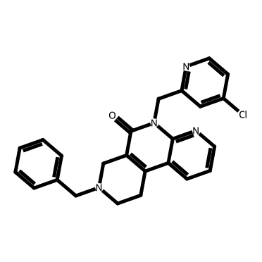 O=c1c2c(c3cccnc3n1Cc1cc(Cl)ccn1)CCN(Cc1ccccc1)C2